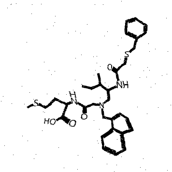 CCC(C)C(CN(CC(=O)NC(CCSC)C(=O)O)Cc1cccc2ccccc12)NC(=O)CSCc1ccccc1